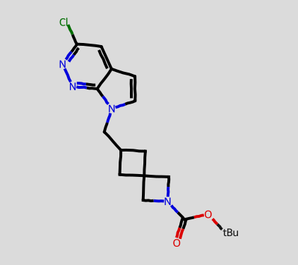 CC(C)(C)OC(=O)N1CC2(CC(Cn3ccc4cc(Cl)nnc43)C2)C1